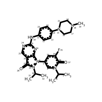 CC(C)n1cc(-n2c3nc(Nc4ccc(N5CCN(C)CC5)cc4)ncc3c(=O)n2C(C)C)cc(F)c1=O